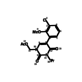 COc1c(Cl)cccc1-c1cn(COC(C)=O)c(=O)n(C(C)C)c1=O